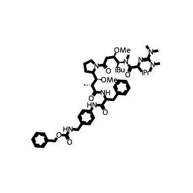 CC[C@H](C)[C@@H]([C@@H](CC(=O)N1CCCC1[C@H](OC)[C@@H](C)C(=O)NC(Cc1ccccc1)C(=O)Nc1ccc(CNC(=O)OCc2ccccc2)cc1)OC)N(C)C(=O)C(N=C(N(C)C)N(C)C)C(C)C